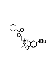 CCC(C)c1ccc(OC(C)OCCOC(=O)C2CCCCC2)c(C(C)C)c1